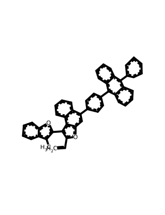 C=Cc1oc2cc(-c3ccc(-c4c5ccccc5c(-c5ccccc5)c5ccccc45)cc3)c3ccccc3c2c1-c1oc2ccccc2c1C